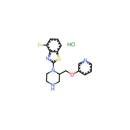 Cl.Fc1cccc2sc(N3CCNCC3COc3cccnc3)nc12